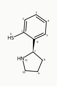 Sc1ccccc1[C@H]1CCCN1